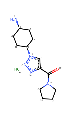 Cl.N[C@H]1CC[C@@H](n2cc(C(=O)N3CCCC3)nn2)CC1